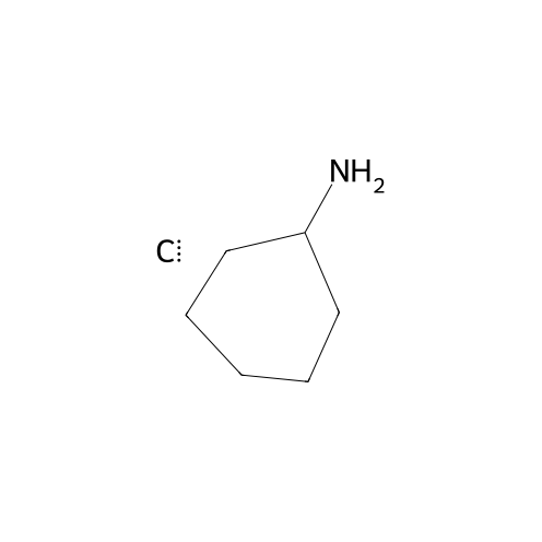 NC1CCCCC1.[C]